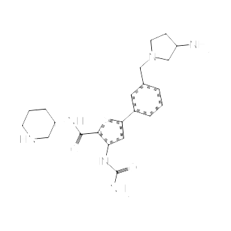 NC(=O)Nc1cc(-c2cccc(CN3CCC(N)C3)c2)sc1C(=O)N[C@H]1CCCNC1